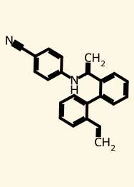 C=Cc1ccccc1-c1ccccc1C(=C)Nc1ccc(C#N)cc1